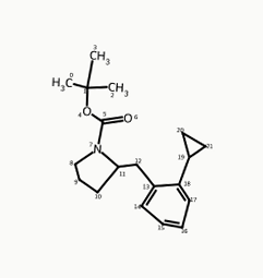 CC(C)(C)OC(=O)N1CCCC1Cc1ccccc1C1CC1